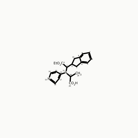 CCOC(=O)C(C1Cc2ccccc2C1)N(c1ccncc1)C(C)C(=O)O